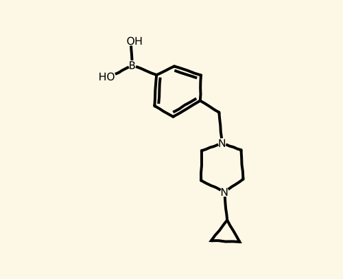 OB(O)c1ccc(CN2CCN(C3CC3)CC2)cc1